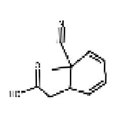 CC1(C#N)C=CC=CC1CC(=O)O